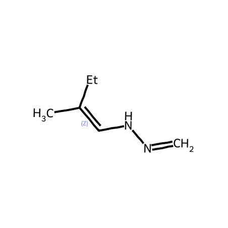 C=NN/C=C(/C)CC